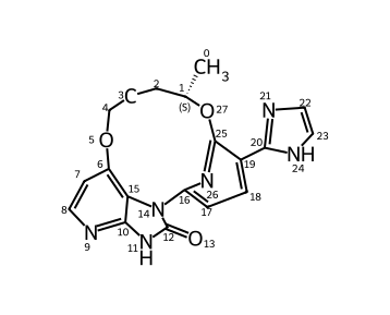 C[C@H]1CCCOc2ccnc3[nH]c(=O)n(c23)-c2ccc(-c3ncc[nH]3)c(n2)O1